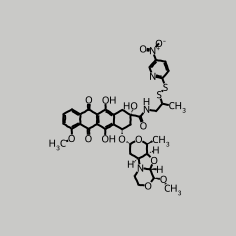 COc1cccc2c1C(=O)c1c(O)c3c(c(O)c1C2=O)C[C@@](O)(C(=O)NCC(C)SSc1ccc([N+](=O)[O-])cn1)C[C@@H]3O[C@H]1C[C@H]2[C@H](O[C@@H]3[C@@H](OC)OCCN32)[C@H](C)O1